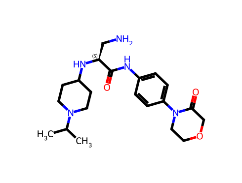 CC(C)N1CCC(N[C@@H](CN)C(=O)Nc2ccc(N3CCOCC3=O)cc2)CC1